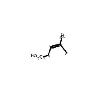 CC/C(C)=C/CC(=O)O